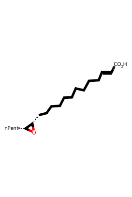 CCCCC[C@H]1O[C@H]1CCCCCCCCCCC=CC(=O)O